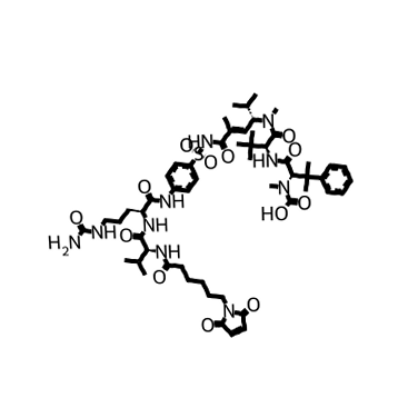 CC(=C[C@H](C(C)C)N(C)C(=O)[C@@H](NC(=O)[C@@H](N(C)C(=O)O)C(C)(C)c1ccccc1)C(C)(C)C)C(=O)NS(=O)(=O)c1ccc(NC(=O)[C@H](CCCNC(N)=O)NC(=O)[C@@H](NC(=O)CCCCCN2C(=O)C=CC2=O)C(C)C)cc1